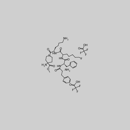 COC(=O)C1(N)CCN(C(=O)[C@@H](CCCCN)NC(=O)C(CCCCCF)NC(=O)[C@@H](Cc2ccccc2)NC(=O)[C@H](N)Cc2ccccc2)CC1.O=C(O)C(F)(F)F.O=C(O)C(F)(F)F